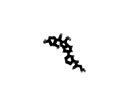 NCC(=O)Nc1cccc(-c2ccc3c(c2)OC(C(=O)c2ccc(Cl)cc2Cl)C3N)c1